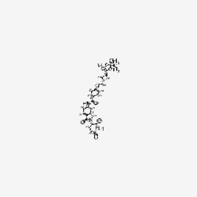 CC(C)(C)OC(=O)N1CC(COc2ccc(C(=O)Nc3ccc4c(c3)CN(C3CCC(=O)NC3=O)C4=O)cc2)C1